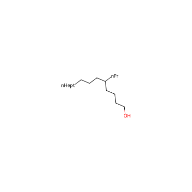 CCCCCCCCCCC(CCC)CCCCO